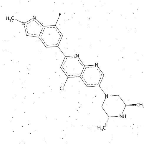 C[C@@H]1CN(c2cnc3nc(-c4cc(F)c5nn(C)cc5c4)cc(Cl)c3c2)C[C@@H](C)N1